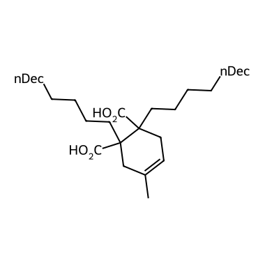 CCCCCCCCCCCCCCC1(C(=O)O)CC=C(C)CC1(CCCCCCCCCCCCCC)C(=O)O